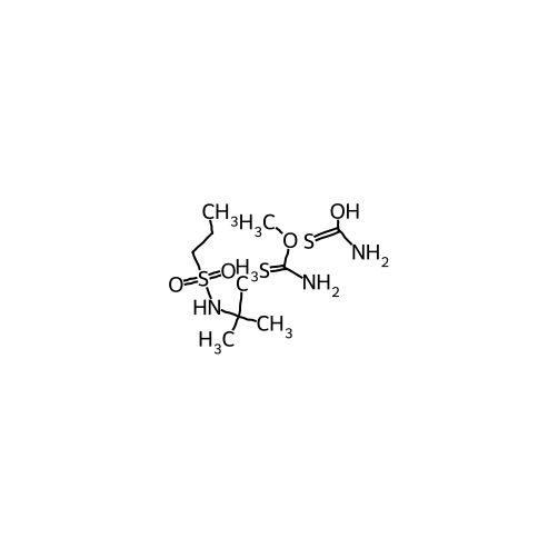 CCCS(=O)(=O)NC(C)(C)C.COC(N)=S.NC(O)=S